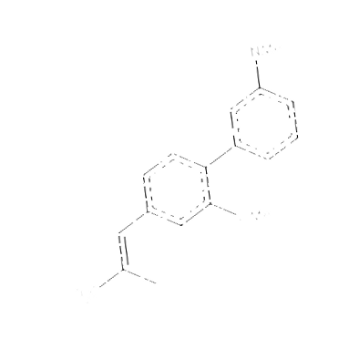 CNc1cccc(-c2ccc(/C=C(\C)C(=O)O)cc2OC)c1